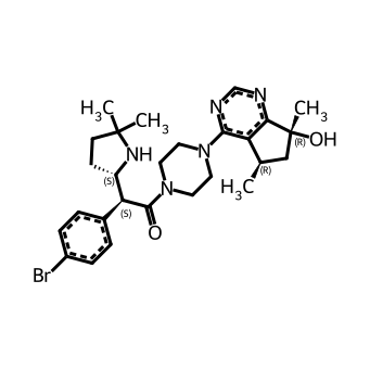 C[C@@H]1C[C@@](C)(O)c2ncnc(N3CCN(C(=O)[C@@H](c4ccc(Br)cc4)[C@@H]4CCC(C)(C)N4)CC3)c21